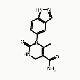 CC1=C(C(N)=O)CNC(=O)N1c1ccc2[nH]ncc2c1